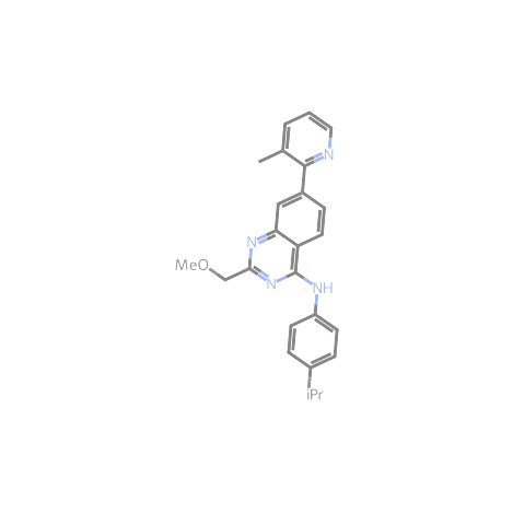 COCc1nc(Nc2ccc(C(C)C)cc2)c2ccc(-c3ncccc3C)cc2n1